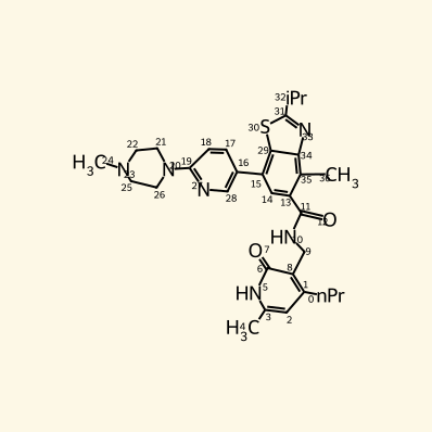 CCCc1cc(C)[nH]c(=O)c1CNC(=O)c1cc(-c2ccc(N3CCN(C)CC3)nc2)c2sc(C(C)C)nc2c1C